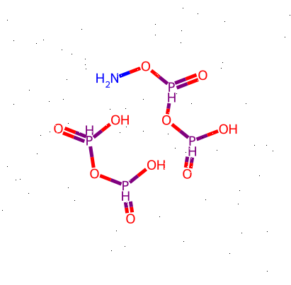 NO[PH](=O)O[PH](=O)O.O=[PH](O)O[PH](=O)O